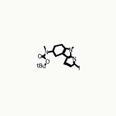 CN(C(=O)OC(C)(C)C)C1CCc2c(c3ccc(I)nc3n2C)C1